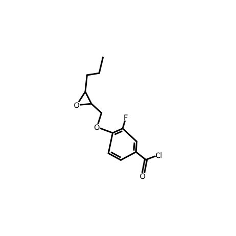 CCCC1OC1COc1ccc(C(=O)Cl)cc1F